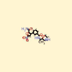 CC(NC(=O)c1cccc(-c2cc([N+](=O)[O-])oc2C(N)=O)c1)C1CNCCO1